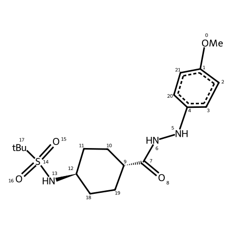 COc1ccc(NNC(=O)[C@H]2CC[C@H](NS(=O)(=O)C(C)(C)C)CC2)cc1